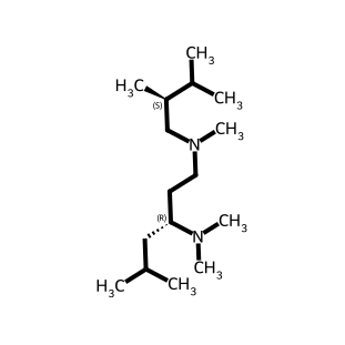 CC(C)C[C@H](CCN(C)C[C@@H](C)C(C)C)N(C)C